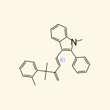 C=C(/C=C/c1c(-c2ccccc2)n(C)c2ccccc12)C(C)(C)c1ccccc1C